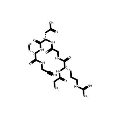 C#CCNC(=O)[C@H](CO)NC(=O)[C@H](CC(=O)O)NC(=O)CNC(=O)[C@H](CCCNC(=N)N)NC(=O)CN